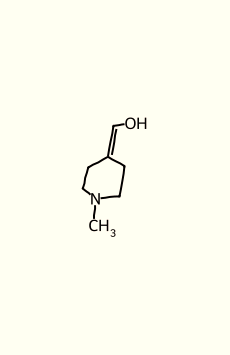 CN1CCC(=CO)CC1